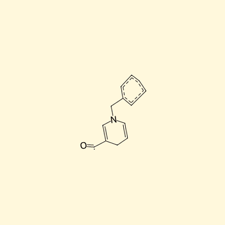 O=[C]C1=CN(Cc2ccccc2)C=CC1